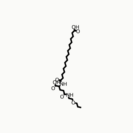 CCCOCCNC(=O)CCC(NC(=O)CCCCCCCCCCCCCCCCC(=O)O)C(=O)O